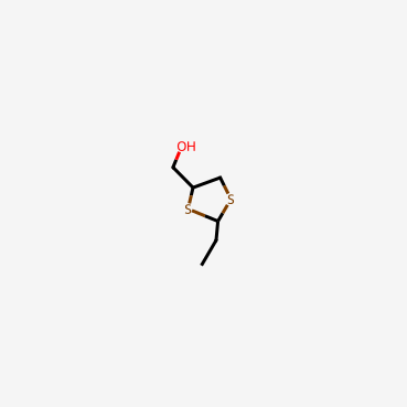 CCC1SCC(CO)S1